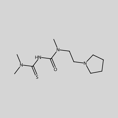 CN(C)C(=S)NC(=O)N(C)CCN1CCCC1